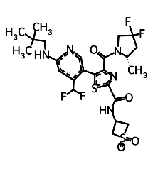 C[C@H]1CC(F)(F)CN1C(=O)c1nc(C(=O)NC2CS(=O)(=O)C2)sc1-c1cnc(NCC(C)(C)C)cc1C(F)F